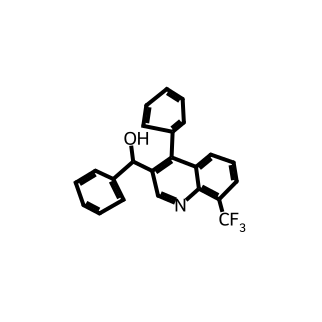 OC(c1ccccc1)c1cnc2c(C(F)(F)F)cccc2c1-c1ccccc1